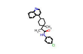 CC(C(=O)Nc1ccc(Cl)cc1)C1(C)CCC(c2ccnc3ccccc23)CC1